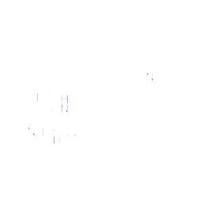 CC(C)(CN)NC(=O)c1ccc(C2(CN3CCCC3)CC2)cc1